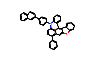 c1ccc(-c2ccc(N(c3ccc(-c4ccc5ccccc5c4)cc3)c3ccccc3-c3cccc4oc5ccccc5c34)cc2)cc1